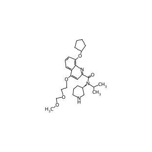 COCOCCOc1cc(C(=O)N(C(C)C)[C@@H]2CCCNC2)nc2c(OC3CCCC3)cccc12